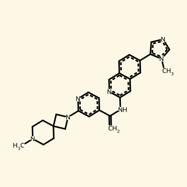 C=C(Nc1cc2cc(-c3cncn3C)ccc2cn1)c1ccnc(N2CC3(CCN(C)CC3)C2)c1